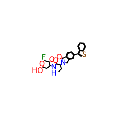 CCC(C(=O)NC(CC(=O)O)C(=O)CF)N1Cc2cc(-c3csc4ccccc34)ccc2C1=O